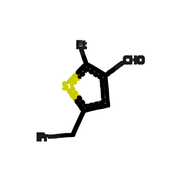 CCc1sc(CC(C)C)cc1C=O